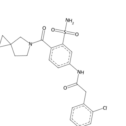 NS(=O)(=O)c1cc(NC(=O)Cc2ccccc2Cl)ccc1C(=O)N1CCC2(CC2)C1